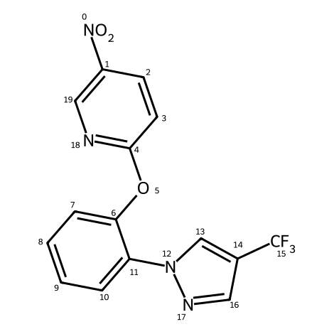 O=[N+]([O-])c1ccc(Oc2ccccc2-n2cc(C(F)(F)F)cn2)nc1